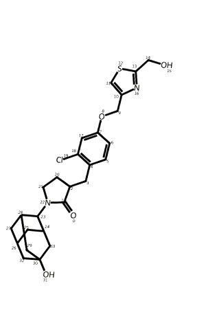 O=C1C(Cc2ccc(OCc3csc(CO)n3)cc2Cl)CCN1C1C2CC3CC1CC(O)(C3)C2